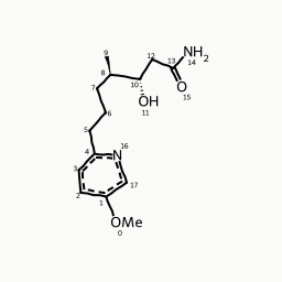 COc1ccc(CCC[C@@H](C)[C@@H](O)CC(N)=O)nc1